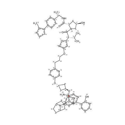 Cc1ncsc1-c1ccc([C@H](C)NC(=O)[C@@H]2C[C@@H](O)CN2C(=O)[C@@H](c2cc(OCCCc3ccc(O[C@H]4C[C@H](Oc5cc(N6C7CCC6CN(c6cc(-c8ccccc8O)nnc6N)C7)ccn5)C4)cn3)no2)C(C)C)cc1